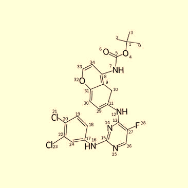 CC(C)(C)OC(=O)NC1=C2CC(Nc3nc(Nc4ccc(Cl)c(Cl)c4)ncc3F)=CC=C2OC=C1